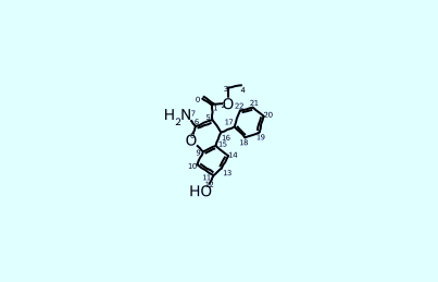 C=C(OCC)C1=C(N)Oc2cc(O)ccc2C1c1ccccc1